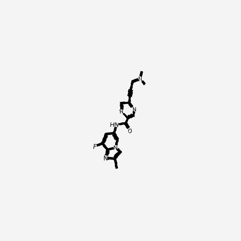 Cc1cn2cc(NC(=O)c3cnc(C#CCN(C)C)cn3)cc(F)c2n1